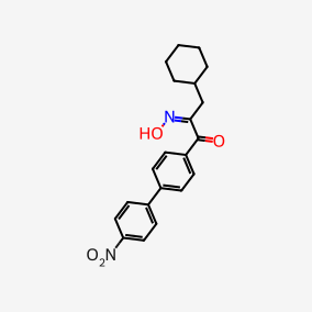 O=C(C(CC1CCCCC1)=NO)c1ccc(-c2ccc([N+](=O)[O-])cc2)cc1